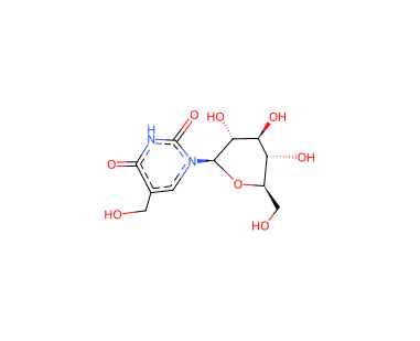 O=c1[nH]c(=O)n([C@@H]2O[C@H](CO)[C@@H](O)[C@H](O)[C@H]2O)cc1CO